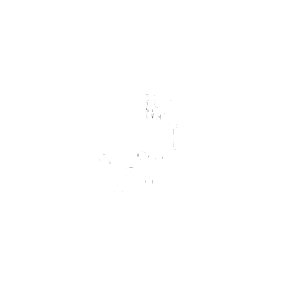 CC(=O)[O-].O=S(=O)([O-])[O-].[Na+].[Pb+2]